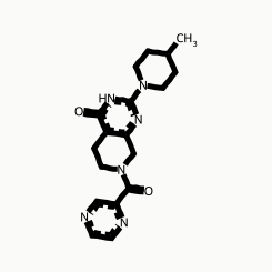 CC1CCN(c2nc3c(c(=O)[nH]2)CCN(C(=O)c2cnccn2)C3)CC1